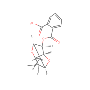 C[C@@H]1[C@@H]2O[C@H]3[C@H](OC(=O)c4ccccc4C(=O)O)[C@H](O[C@@H]13)[C@H]2C